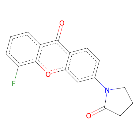 O=C1CCCN1c1ccc2c(=O)c3cccc(F)c3oc2c1